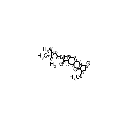 CSC1CC(=O)N(CC2CCC(C(=O)NCCN(C)C(C)C)CC2)C1=O